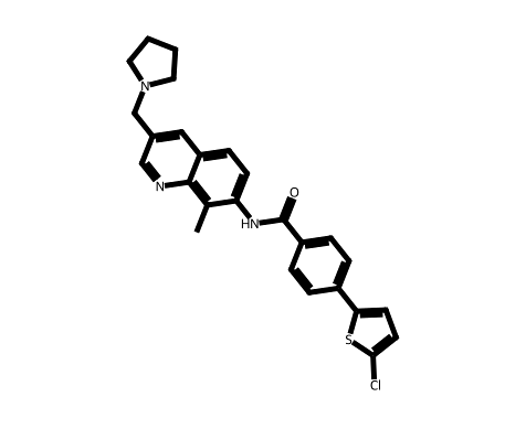 Cc1c(NC(=O)c2ccc(-c3ccc(Cl)s3)cc2)ccc2cc(CN3CCCC3)cnc12